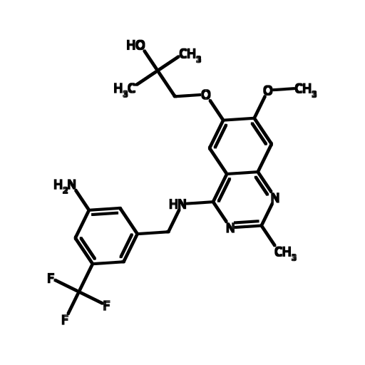 COc1cc2nc(C)nc(NCc3cc(N)cc(C(F)(F)F)c3)c2cc1OCC(C)(C)O